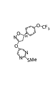 CSc1ncc(OC2=NO[C@@H](c3ccc(OC(F)(F)F)cc3)C2)cn1